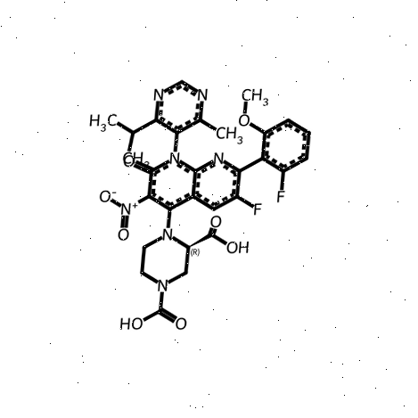 COc1cccc(F)c1-c1nc2c(cc1F)c(N1CCN(C(=O)O)C[C@@H]1C(=O)O)c([N+](=O)[O-])c(=O)n2-c1c(C)ncnc1C(C)C